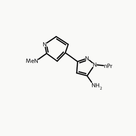 CCCn1nc(-c2ccnc(NC)c2)cc1N